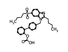 CCCCc1nc2ccc(S(=O)(=O)CCCC)cc2n1Cc1ccc(-c2ccccc2OC(=O)O)cc1